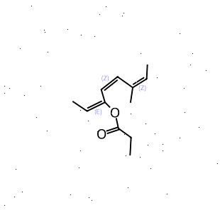 C\C=C(C)/C=C\C(=C/C)OC(=O)CC